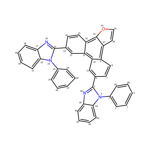 c1ccc(-n2c(-c3ccc4c(c3)c3cc(-c5nc6ccccc6n5-c5ccccc5)ccc3c3occc43)nc3ccccc32)cc1